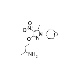 Cc1c([N+](=O)[O-])c(OCCC(C)N)nn1C1CCOCC1